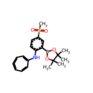 CC1(C)OB(c2cc(S(C)(=O)=O)ccc2NC2=CC=C=CC=C2)OC1(C)C